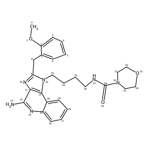 COc1ccccc1Cc1nc2c(N)nc3ccccc3c2n1CCCCNC(=O)N1CCOCC1